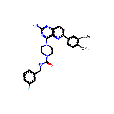 COc1ccc(-c2ccc3nc(N)nc(N4CCN(C(=O)NCc5cccc(F)c5)CC4)c3n2)cc1OC